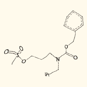 CC(C)CN(CCCOS(C)(=O)=O)C(=O)OCc1ccccc1